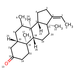 C/C=C1/CC[C@H]2[C@@H]3C(C)C[C@H]4CC(=O)CC[C@]4(C)[C@H]3CC[C@]12C